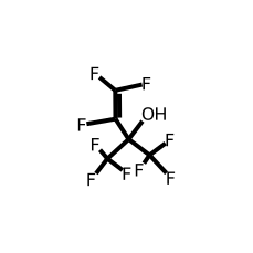 OC(C(F)=C(F)F)(C(F)(F)F)C(F)(F)F